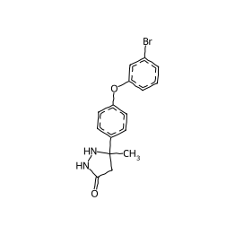 CC1(c2ccc(Oc3cccc(Br)c3)cc2)CC(=O)NN1